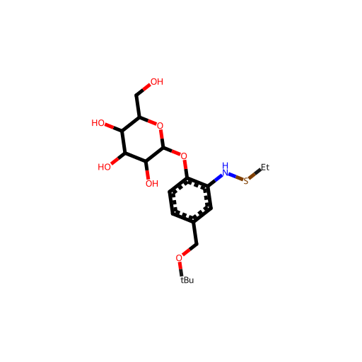 CCSNc1cc(COC(C)(C)C)ccc1OC1OC(CO)C(O)C(O)C1O